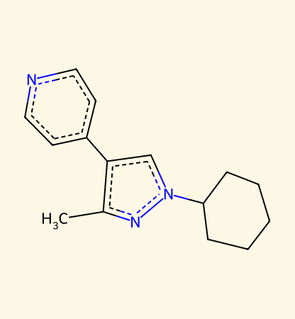 Cc1nn(C2CCCCC2)cc1-c1ccncc1